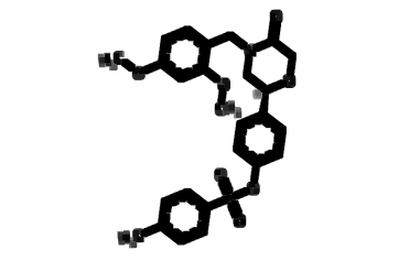 COc1ccc(CN2C[C@H](c3ccc(OS(=O)(=O)c4ccc(C)cc4)cc3)OCC2=O)c(OC)c1